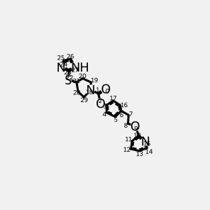 O=C(Oc1ccc(CCOc2ccccn2)cc1)N1CCC(Sc2ncc[nH]2)CC1